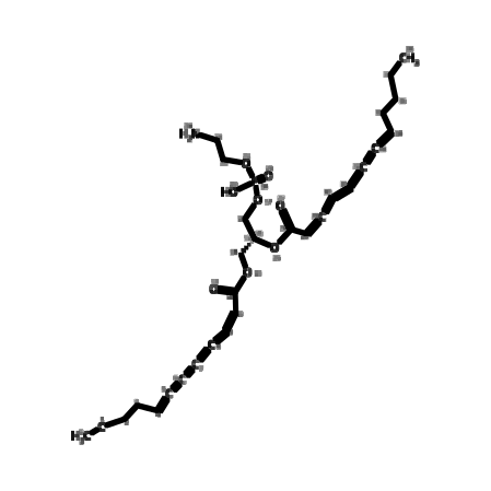 CCCCC=C=C=C=C=C=CC(=O)OC[C@H](COP(=O)(O)OCCN)OC(=O)C=C=C=C=C=C=CCCCC